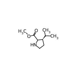 COC(=O)C1NCC[C@@H]1C(C)C